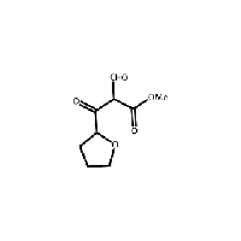 COC(=O)C(C=O)C(=O)C1CCCO1